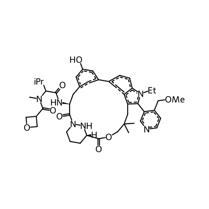 CCn1c(-c2cnccc2COC)c2c3cc(ccc31)-c1cc(O)cc(c1)C[C@H](NC(=O)C(C(C)C)N(C)C(=O)C1COC1)C(=O)N1CCC[C@H](N1)C(=O)OCC(C)(C)C2